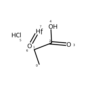 CCC(=O)O.Cl.[O]=[Hf]